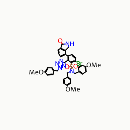 COc1ccc(CN(Cc2ccc(OC)cc2)S(=O)(=O)c2c(Br)ccc(-c3cccc4c3CNC4=O)c2-c2nnn(Cc3ccc(OC)cc3)n2)cc1